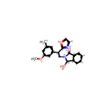 COc1cc(C)cc(C(CN2C(=O)c3ccccc3C2O)c2ncco2)c1